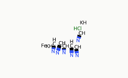 C#N.C#N.C#N.C#N.C#N.C#N.Cl.[Fe].[KH].[KH]